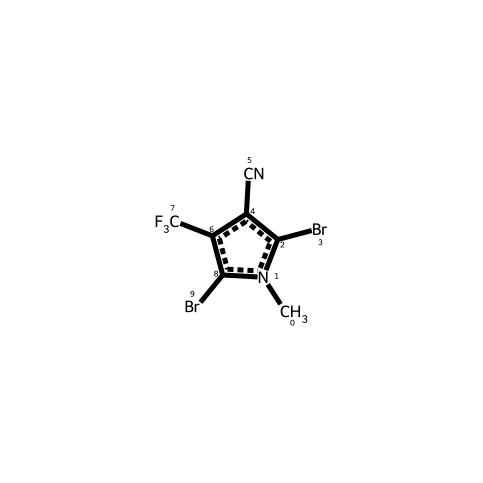 Cn1c(Br)c(C#N)c(C(F)(F)F)c1Br